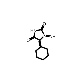 N=S1C(=O)NC(=O)C1=C1CCCCC1